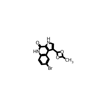 CC1OC(c2c[nH]c3c(=O)[nH]c4ccc(Br)cc4c23)O1